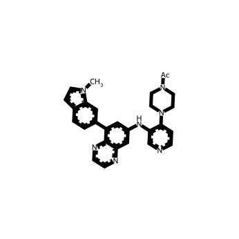 CC(=O)N1CCN(c2ccncc2Nc2cc(-c3ccc4ccn(C)c4c3)c3nccnc3c2)CC1